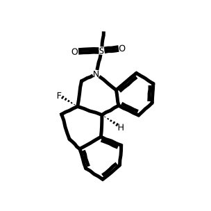 CS(=O)(=O)N1C[C@]2(F)CCc3ccccc3[C@@H]2c2ccccc21